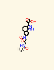 CC(=O)NCC1CN(c2ccc3c(c2)CCCc2c(-c4cocc4O)n[nH]c2-3)C(=O)O1